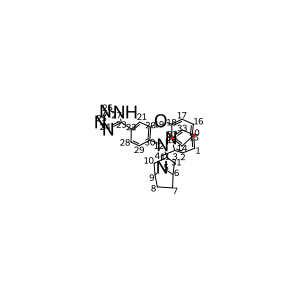 c1ccc(CN2C3CCC2CC(N2c4ccccc4Oc4cc(-c5nnn[nH]5)ccc42)C3)nc1